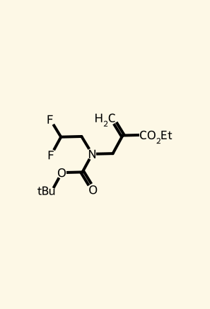 C=C(CN(CC(F)F)C(=O)OC(C)(C)C)C(=O)OCC